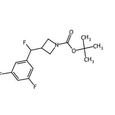 CC(C)(C)OC(=O)N1CC(C(F)c2cc(F)cc(F)c2)C1